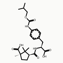 CC(C)COC(=O)Nc1ccc(C[C@H](NC(=O)[C@H]2CC[C@@](C)(C(=O)O)C2(C)C)C(=O)O)cc1